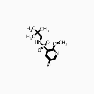 COc1ncc(Br)cc1S(=O)(=O)NCC(C)(C)C